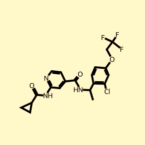 CC(NC(=O)c1ccnc(NC(=O)C2CC2)c1)c1ccc(OCC(F)(F)F)cc1Cl